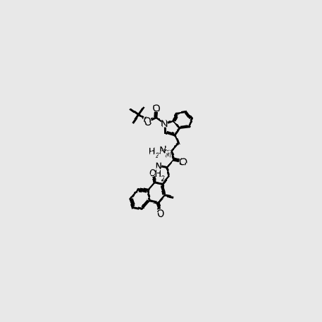 CC1=C(CC(N)C(=O)[C@H](N)Cc2cn(C(=O)OC(C)(C)C)c3ccccc23)C(=O)c2ccccc2C1=O